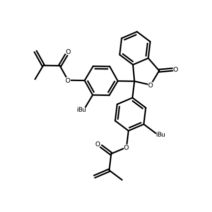 C=C(C)C(=O)Oc1ccc(C2(c3ccc(OC(=O)C(=C)C)c(C(C)CC)c3)OC(=O)c3ccccc32)cc1C(C)CC